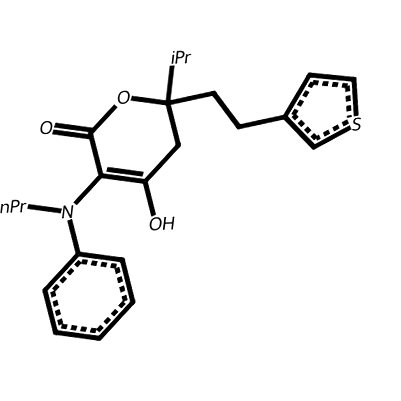 CCCN(C1=C(O)CC(CCc2ccsc2)(C(C)C)OC1=O)c1ccccc1